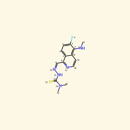 CNc1c(F)ccc2c(/C=N\NC(=S)N(C)C)nccc12